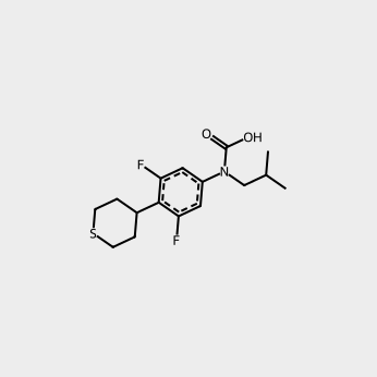 CC(C)CN(C(=O)O)c1cc(F)c(C2CCSCC2)c(F)c1